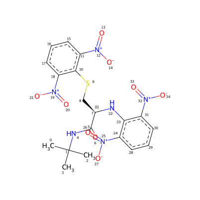 CC(C)(C)NC(=O)[C@@H](CSc1c([N+](=O)[O-])cccc1[N+](=O)[O-])Nc1c([N+](=O)[O-])cccc1[N+](=O)[O-]